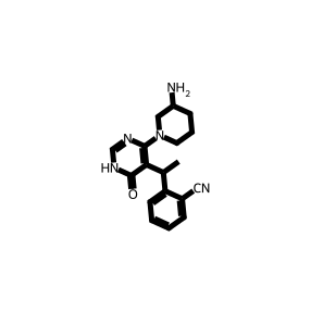 CC(c1ccccc1C#N)c1c(N2CCCC(N)C2)nc[nH]c1=O